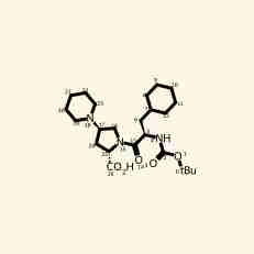 CC(C)(C)OC(=O)N[C@H](CC1CCCCC1)C(=O)N1C[C@H](N2CCCCC2)C[C@H]1C(=O)O